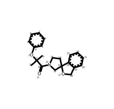 CC(C)(Oc1cc[c]cc1)C(=O)N1CCC2(C1)OCc1ccccc12